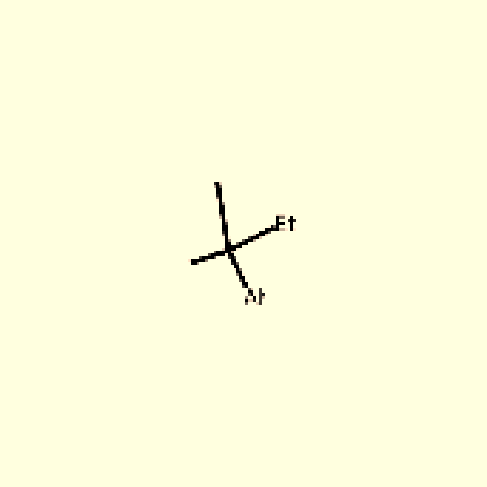 CC[C](C)(C)[Al]